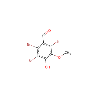 COc1c(O)c(Br)c(Br)c(C=O)c1Br